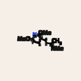 CN[C@H](C)CCc1ccc(OC)nc1OC